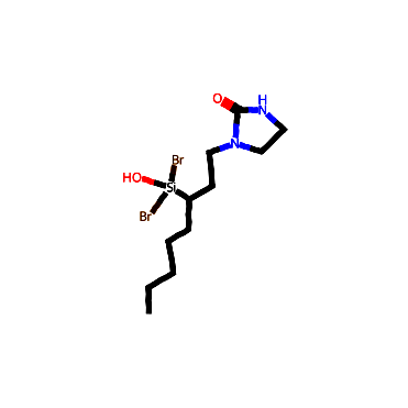 CCCCCC(CCN1CCNC1=O)[Si](O)(Br)Br